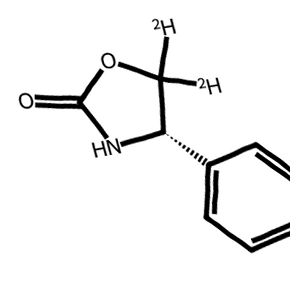 [2H]C1([2H])OC(=O)N[C@H]1c1ccccc1